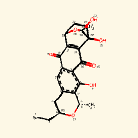 CC(=O)C[C@H]1Cc2cc3c(c(O)c2[C@H](C)O1)C(=O)C1=C(C3=O)C2CC(O)C1(O)C(C)O2